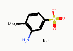 COc1ccc(S(=O)(=O)[O-])cc1N.[Na+]